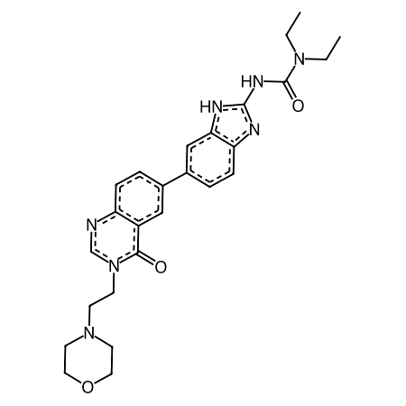 CCN(CC)C(=O)Nc1nc2ccc(-c3ccc4ncn(CCN5CCOCC5)c(=O)c4c3)cc2[nH]1